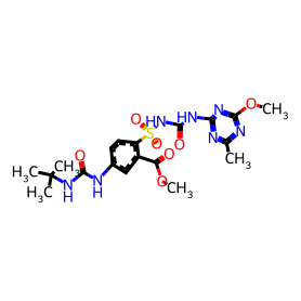 COC(=O)c1cc(NC(=O)NC(C)(C)C)ccc1S(=O)(=O)NC(=O)Nc1nc(C)nc(OC)n1